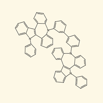 c1ccc(-n2c3c(c4ccccc42)-c2ccccc2N(c2cccc(-c4cccc(N5c6ccccc6-c6c(n(-c7ccccc7)c7ccccc67)-c6ccccc65)c4)c2)c2ccccc2-3)cc1